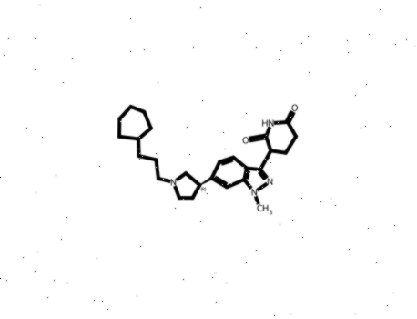 Cn1nc(C2CCC(=O)NC2=O)c2ccc([C@H]3CCN(CCCC4CCCCC4)C3)cc21